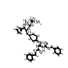 CC(C)(C)OC(=O)NC(CC1CCC(NC(=NC(=O)OCc2ccccc2)NC(=O)OCc2ccccc2)CC1)C(=O)c1nccs1